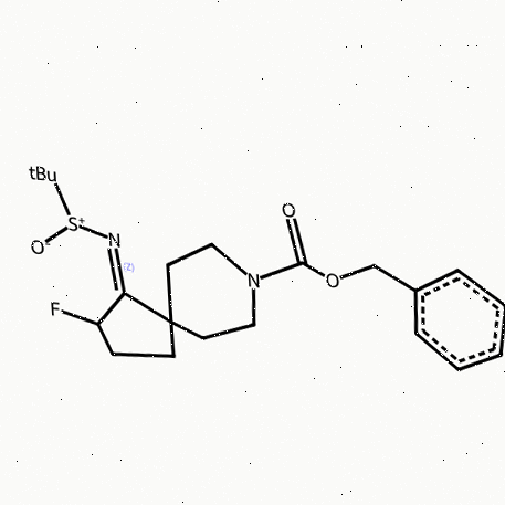 CC(C)(C)[S+]([O-])/N=C1\C(F)CCC12CCN(C(=O)OCc1ccccc1)CC2